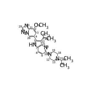 COc1cc(-c2[nH]c3ccc(N4CCN(C(C)C)CC4)nc3c2C(C)C)cn2ncnc12